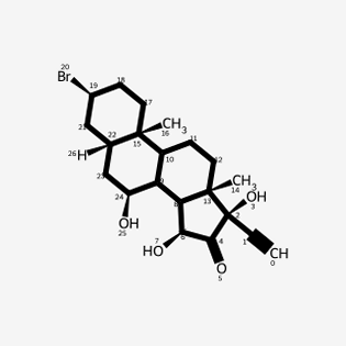 C#C[C@]1(O)C(=O)[C@@H](O)C2C3C(CC[C@@]21C)[C@@]1(C)CC[C@H](Br)C[C@H]1C[C@@H]3O